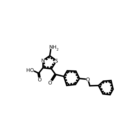 Nc1nc(C(=O)O)c(C(=O)c2ccc(OCc3ccccc3)cc2)s1